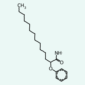 CCCCCCCCCCCCC(Oc1ccccc1)C([NH])=O